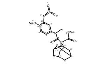 CNC(=O)N(C(=O)C(C)c1ccc(OC)c(N=S(=O)=O)c1)C12CC3CC(CC(C3)C1)C2